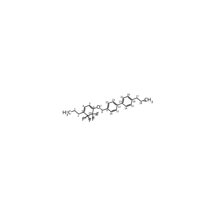 CCCC1=CC=C(OCc2ccc(-c3ccc(CCC)cc3)cc2)C(F)(F)C1(F)F